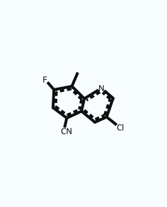 Cc1c(F)cc(C#N)c2cc(Cl)cnc12